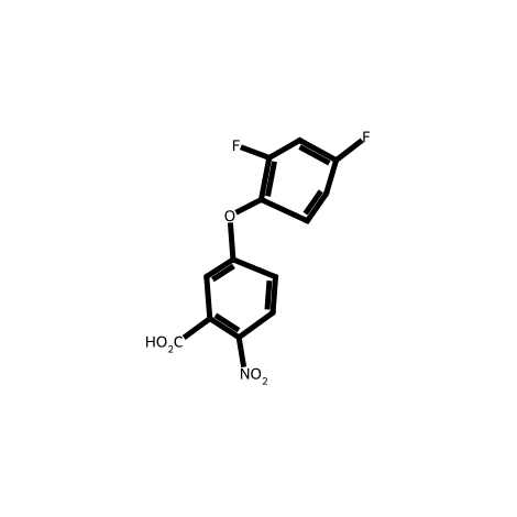 O=C(O)c1cc(Oc2ccc(F)cc2F)ccc1[N+](=O)[O-]